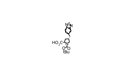 CC(C)(C)OC(=O)N1C[C@@H](Cc2ccc3nsnc3c2)C[C@@H]1C(=O)O